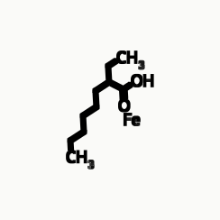 CCCCCCC(CC)C(=O)O.[Fe]